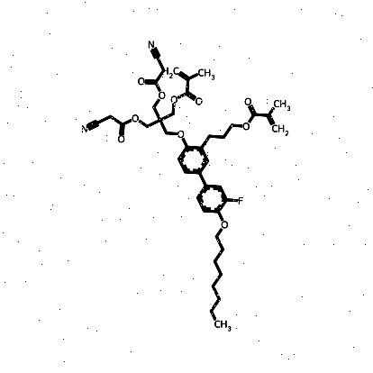 C=C(C)C(=O)OCCCc1cc(-c2ccc(OCCCCCCCC)c(F)c2)ccc1OCC(COC(=O)CC#N)(COC(=O)CC#N)COC(=O)C(=C)C